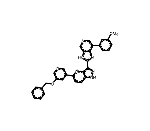 COc1cccc(-c2cncc3[nH]c(-c4n[nH]c5ccc(-c6cncc(OCc7ccccc7)c6)nc45)nc23)c1